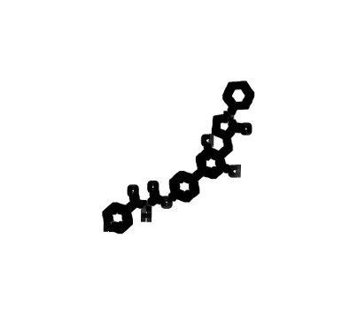 O=C(NC(=O)c1ccncc1)Oc1ccc(-c2cc(Cl)c(CC3CCN(C4CCCCC4)C3=O)c(Cl)c2)cc1